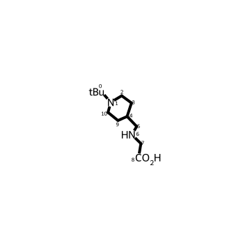 CC(C)(C)N1CCC(CNCC(=O)O)CC1